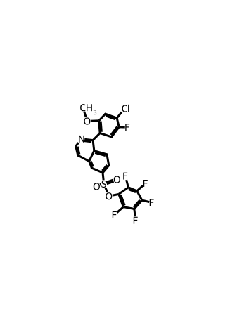 COc1cc(Cl)c(F)cc1-c1nccc2cc(S(=O)(=O)Oc3c(F)c(F)c(F)c(F)c3F)ccc12